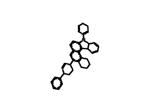 C1=CC2c3c(ccc4cc(C5C=CC(c6ccccc6)CC5)c5c(c34)CCCC5)N(C3=CCCC=C3)C2C=C1